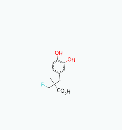 CC(CF)(Cc1ccc(O)c(O)c1)C(=O)O